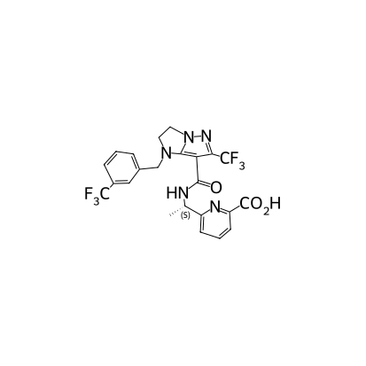 C[C@H](NC(=O)c1c(C(F)(F)F)nn2c1N(Cc1cccc(C(F)(F)F)c1)CC2)c1cccc(C(=O)O)n1